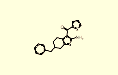 Nc1sc2c(c1C(=O)c1cccs1)CCC(Cc1ccccc1)C2